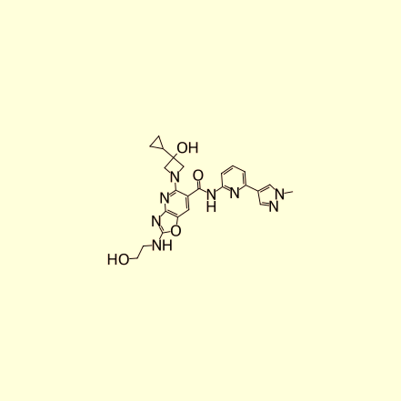 Cn1cc(-c2cccc(NC(=O)c3cc4oc(NCCO)nc4nc3N3CC(O)(C4CC4)C3)n2)cn1